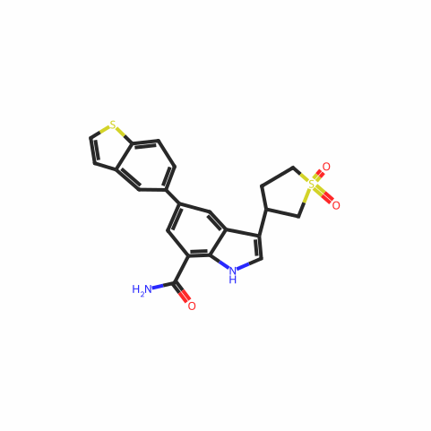 NC(=O)c1cc(-c2ccc3sccc3c2)cc2c(C3CCS(=O)(=O)C3)c[nH]c12